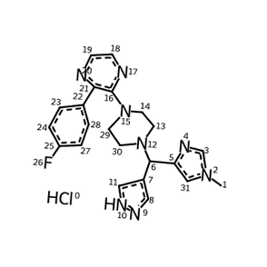 Cl.Cn1cnc(C(c2cn[nH]c2)N2CCN(c3nccnc3-c3ccc(F)cc3)CC2)c1